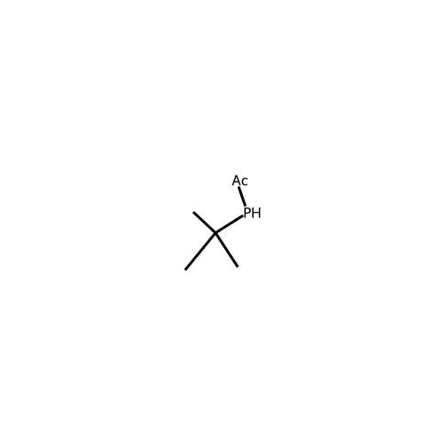 CC(=O)PC(C)(C)C